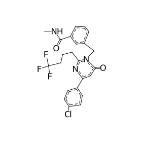 CNC(=O)c1cccc(Cn2c(CCCC(F)(F)F)nc(-c3ccc(Cl)cc3)cc2=O)c1